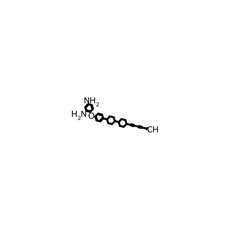 C#CC#CC#CC1CCC(C2CCC(c3ccc(Oc4ccc(N)cc4N)cc3)CC2)CC1